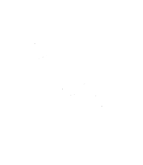 FC(F)c1nnc(-c2ccc(COc3ccncn3)nc2)o1